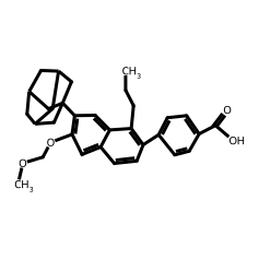 CCCc1c(-c2ccc(C(=O)O)cc2)ccc2cc(OCOC)c(C34CC5CC(CC(C5)C3)C4)cc12